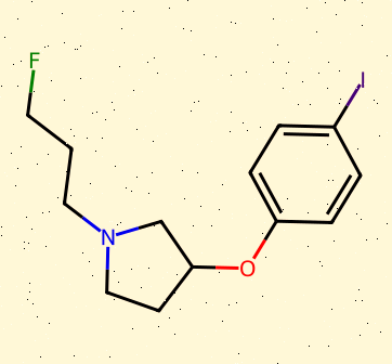 FCCCN1CCC(Oc2ccc(I)cc2)C1